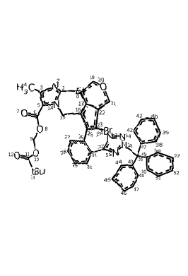 CCc1nc(C)c(C(=O)OCOC(=O)C(C)(C)C)n1Cc1c2ccocc-2c(Br)c1-c1ccccc1-c1nnn(C(c2ccccc2)(c2ccccc2)c2ccccc2)n1